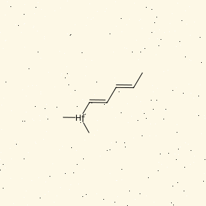 CC=CC=[CH][Hf]([CH3])[CH3]